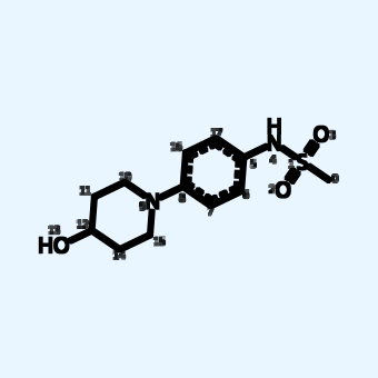 CS(=O)(=O)Nc1ccc(N2CCC(O)CC2)cc1